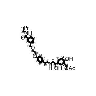 CC(=O)OCc1cc([C@@H](O)CNCCc2ccc(OCCOCc3cccc(C(=O)NCC(C)C)c3)cc2)ccc1O